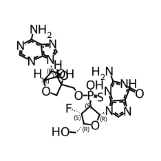 Nc1nc2c(ncn2[C@@H]2O[C@H](CO)[C@H](F)[C@H]2P(O)(=S)OCC23CO[C@@H]([C@H](n4cnc5c(N)ncnc54)O2)[C@@H]3O)c(=O)[nH]1